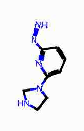 N=Nc1cccc(N2CCNC2)n1